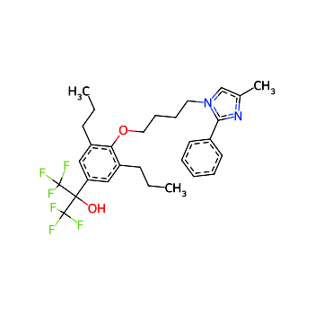 CCCc1cc(C(O)(C(F)(F)F)C(F)(F)F)cc(CCC)c1OCCCCn1cc(C)nc1-c1ccccc1